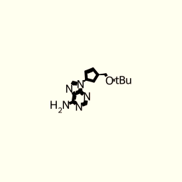 CC(C)(C)OC[C@@H]1C=C[C@H](n2cnc3c(N)ncnc32)C1